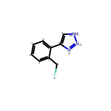 F[CH]c1ccccc1-c1c[nH]nn1